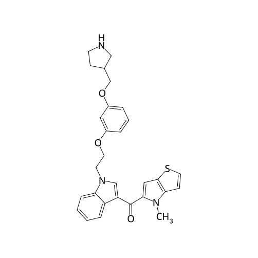 Cn1c(C(=O)c2cn(CCOc3cccc(OCC4CCNC4)c3)c3ccccc23)cc2sccc21